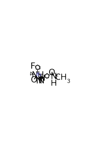 CCNC(=O)c1ccc(-n2nnc(C(=O)NC3CC3)c2/C=C/c2cccc(F)c2)cc1